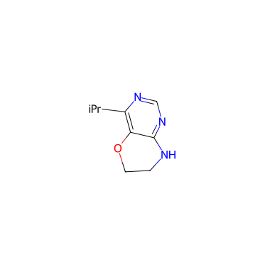 CC(C)c1ncnc2c1OCCN2